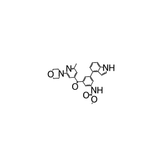 COC(=O)Nc1cc(C(=O)c2cc(C)nc(N3CCOCC3)c2)cc(-c2cccc3[nH]ccc23)c1